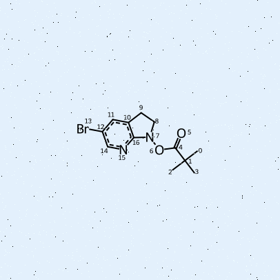 CC(C)(C)C(=O)ON1CCc2cc(Br)cnc21